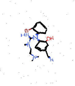 CN(C)CCN(C)C(=N)N(c1ccc(C#N)cc1O)c1ccccc1Br